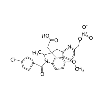 COc1ccc2c(c1)C(CC(=O)O)(Cc1cccc(CO[N+](=O)[O-])n1)C(C)N2C(=O)c1ccc(Cl)cc1